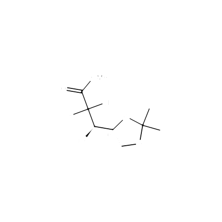 COC(=O)C(F)(Cl)[C@H](O)[C@H]1COC(C)(C)O1